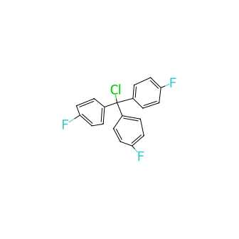 Fc1ccc(C(Cl)(c2ccc(F)cc2)c2ccc(F)cc2)cc1